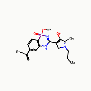 C=C(CC)c1ccc2c(c1)NC(C1=C(O)C(C(C)(C)C)N(CCC(C)(C)C)C1)=NP2(=O)OCC